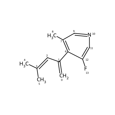 C=C(C=C(C)C)c1c(C)cncc1F